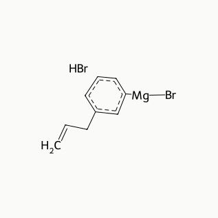 Br.C=CCc1ccc[c]([Mg][Br])c1